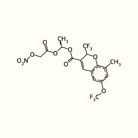 Cc1cc(OC(F)(F)F)cc2c1OC(C(F)(F)F)C(C(=O)O[C@H](C)OC(=O)CO[N+](=O)[O-])=C2